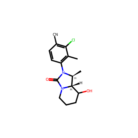 Cc1c(N2C(=O)N3CCCC(O)[C@H]3[C@@H]2C)ccc(C#N)c1Cl